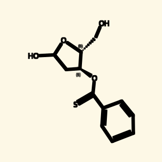 OC[C@H]1OC(O)C[C@@H]1OC(=S)c1ccccc1